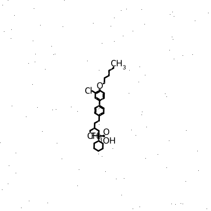 CCCCCCOc1ccc(-c2ccc(CCC(CC)C[C@@](F)(C(=O)O)C3CCCCC3)cc2)cc1Cl